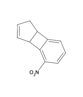 O=[N+]([O-])c1cccc2c1C1C=CCC21